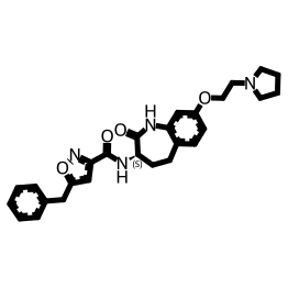 O=C(N[C@H]1CCc2ccc(OCCN3CCCC3)cc2NC1=O)c1cc(Cc2ccccc2)on1